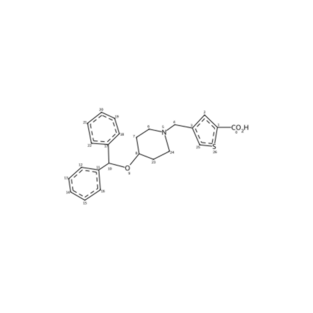 O=C(O)c1cc(CN2CCC(OC(c3ccccc3)c3ccccc3)CC2)cs1